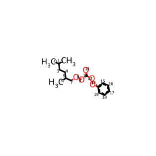 CC(C)CCC(C)COOC(=O)OOc1ccccc1